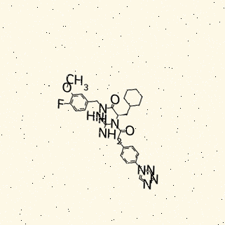 COc1cc(CNC(=O)[C@@H](CC2CCCCC2)N(C(=N)N)C(=O)Cc2ccc(-n3cnnn3)cc2)ccc1F